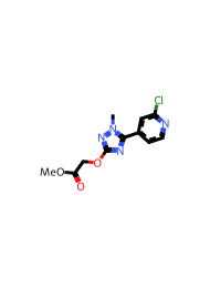 COC(=O)COc1nc(-c2ccnc(Cl)c2)n(C)n1